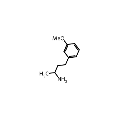 COc1cccc(CCC(C)N)c1